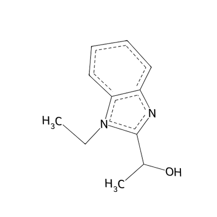 CCn1c(C(C)O)nc2ccccc21